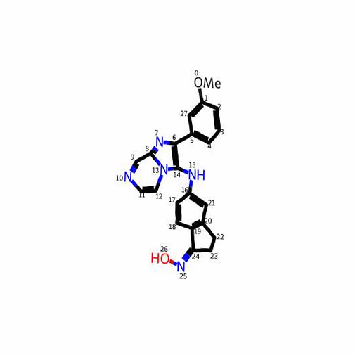 COc1cccc(-c2nc3cnccn3c2Nc2ccc3c(c2)CC/C3=N/O)c1